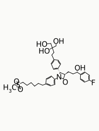 CS(=O)(=O)CCCCCCc1ccc(N2C(=O)[C@H](CC[C@H](O)c3ccc(F)cc3)[C@H]2c2ccc(CCC(O)(CO)CO)cc2)cc1